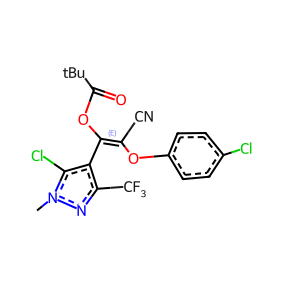 Cn1nc(C(F)(F)F)c(/C(OC(=O)C(C)(C)C)=C(/C#N)Oc2ccc(Cl)cc2)c1Cl